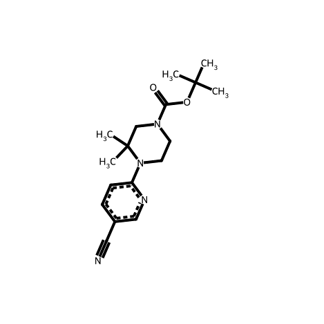 CC(C)(C)OC(=O)N1CCN(c2ccc(C#N)cn2)C(C)(C)C1